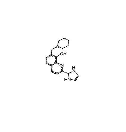 Oc1c(CN2CCCCC2)ccc2ccc(C3NC=CN3)nc12